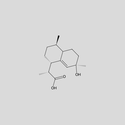 C[C@@H]1CC[C@@H]([C@@H](C)C(=O)O)C2=C[C@](C)(O)CCC21